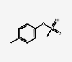 Cc1ccc(OS(C)(=N)=O)cc1